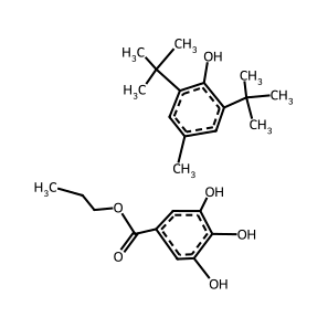 CCCOC(=O)c1cc(O)c(O)c(O)c1.Cc1cc(C(C)(C)C)c(O)c(C(C)(C)C)c1